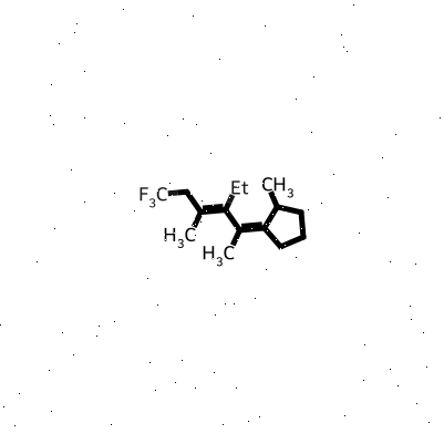 CCC(/C(C)=C1/CCCC1C)=C(/C)CC(F)(F)F